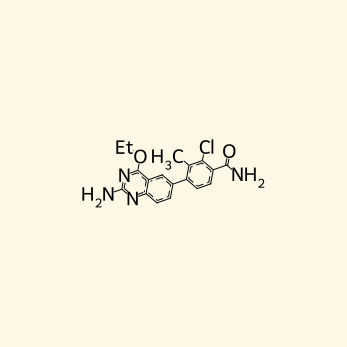 CCOc1nc(N)nc2ccc(-c3ccc(C(N)=O)c(Cl)c3C)cc12